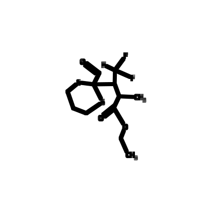 CCOC(=O)C(C)C(C(F)(F)F)C1(C=O)SCCCS1